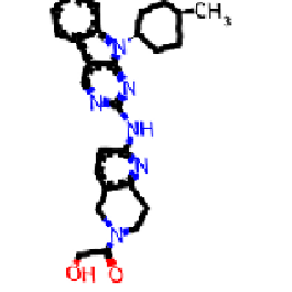 C[C@H]1CC[C@H](n2c3ccccc3c3cnc(Nc4ccc5c(n4)CCN(C(=O)CO)C5)nc32)CC1